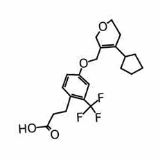 O=C(O)CCc1ccc(OCC2=C(C3CCCC3)CCOC2)cc1C(F)(F)F